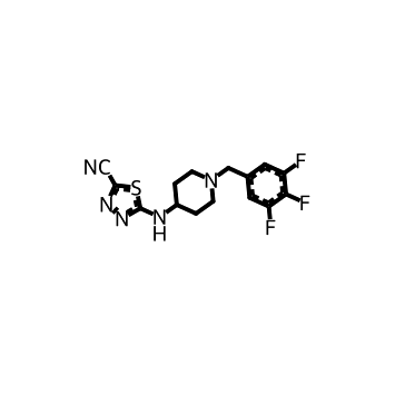 N#Cc1nnc(NC2CCN(Cc3cc(F)c(F)c(F)c3)CC2)s1